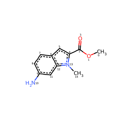 COC(=O)c1cc2ccc(N)cc2n1C